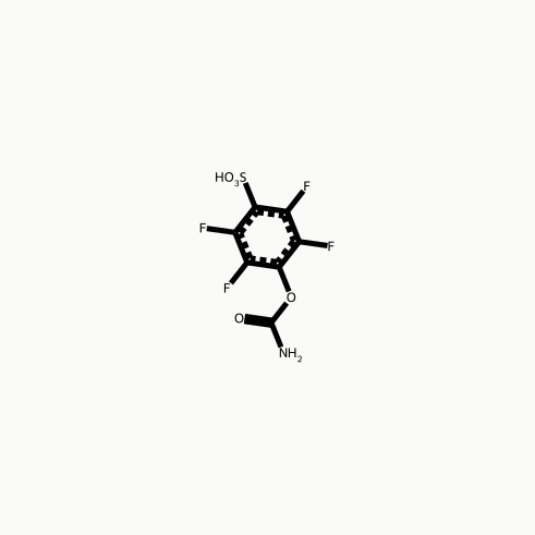 NC(=O)Oc1c(F)c(F)c(S(=O)(=O)O)c(F)c1F